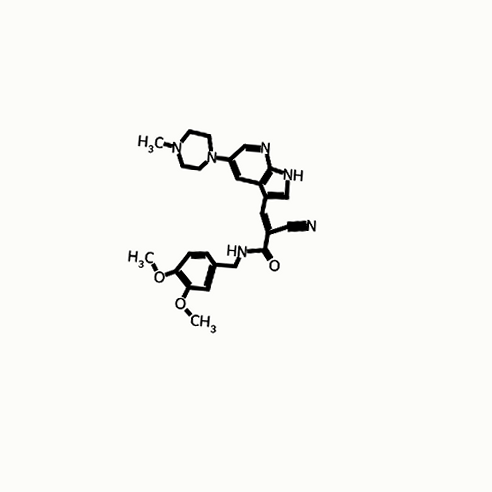 COc1ccc(CNC(=O)/C(C#N)=C/c2c[nH]c3ncc(N4CCN(C)CC4)cc23)cc1OC